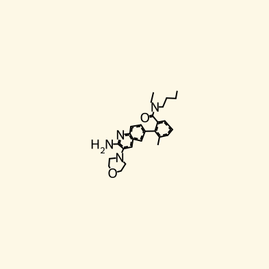 CCCCN(CC)C(=O)c1cccc(C)c1-c1ccc2nc(N)c(N3CCOCC3)cc2c1